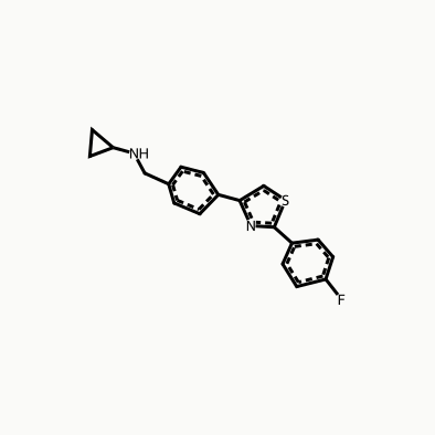 Fc1ccc(-c2nc(-c3ccc(CNC4CC4)cc3)cs2)cc1